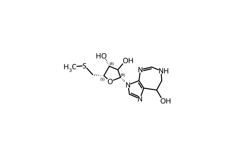 CSC[C@H]1O[C@@H](n2cnc3c2N=CNCC3O)C(O)[C@H]1O